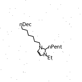 CCCCCCCCCCCCCCCCN1C=CN(CC)C1CCCCC